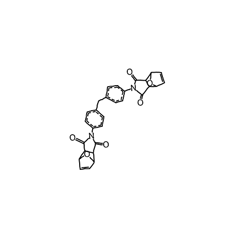 O=C1C2C3C=CC(O3)C2C(=O)N1c1ccc(Cc2ccc(N3C(=O)C4C5C=CC(O5)C4C3=O)cc2)cc1